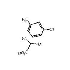 CCOC(=O)C(CC)C(C)=O.N#Cc1cccc(C(F)(F)F)c1